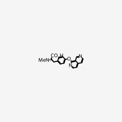 CN[C@@H](Cc1ccc(Oc2nccc3ccncc23)cc1)C(=O)O